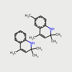 CC1=CC(C)(C)Nc2ccc(C)cc21.CC1=CC(C)(C)Nc2ccccc21